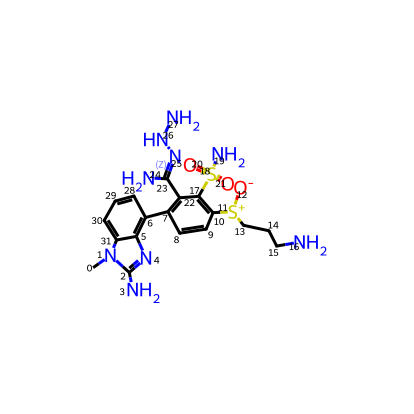 Cn1c(N)nc2c(-c3ccc([S+]([O-])CCCN)c(S(N)(=O)=O)c3/C(N)=N/NN)cccc21